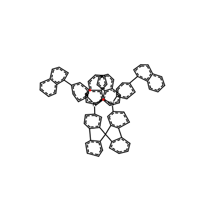 c1ccc2c(c1)-c1ccc(N(c3ccc(-c4cccc5ccccc45)cc3)c3cccc4ccccc34)cc1C21c2ccccc2-c2ccc(N(c3ccc(-c4cccc5ccccc45)cc3)c3cccc4ccccc34)cc21